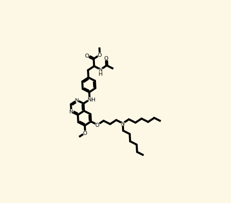 CCCCCCN(CCCCCC)CCCOc1cc2c(Nc3ccc(CC(NC(C)=O)C(=O)OC)cc3)ncnc2cc1OC